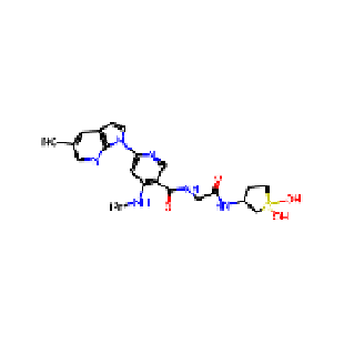 CC(C)Nc1cc(-n2ccc3cc(C#N)cnc32)ncc1C(=O)NCC(=O)NC1CCS(O)(O)C1